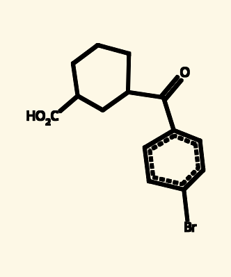 O=C(O)C1CCCC(C(=O)c2ccc(Br)cc2)C1